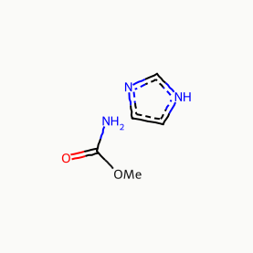 COC(N)=O.c1c[nH]cn1